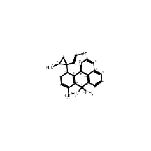 BC1=CCC(C2(C=CCC)CC2C)C2=C1C(C)(C)c1cccc3ccnc2c13